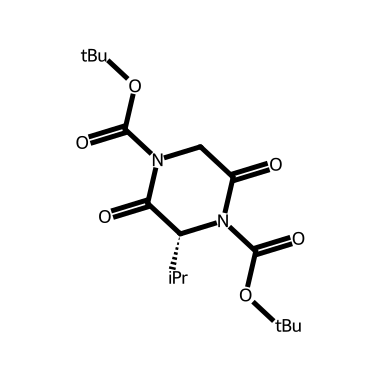 CC(C)[C@@H]1C(=O)N(C(=O)OC(C)(C)C)CC(=O)N1C(=O)OC(C)(C)C